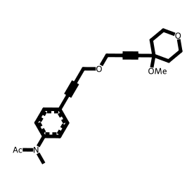 COC1(C#CCOCC#Cc2ccc(N(C)C(C)=O)cc2)CCOCC1